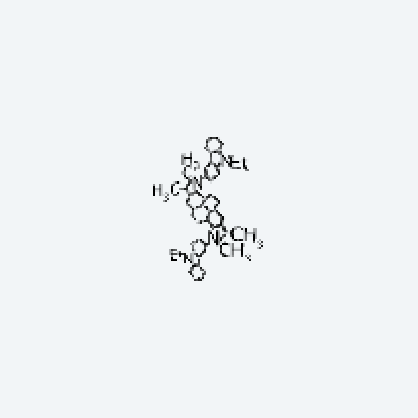 CCn1c2ccccc2c2cc(-n3c(C)c(C)c4cc5ccc6c7c(ccc(c57)c43)cc3c(C)c(C)n(-c4ccc5c(c4)c4ccccc4n5CC)c36)ccc21